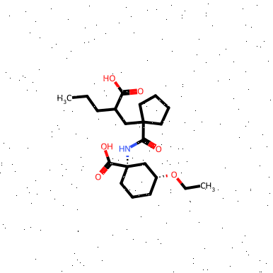 CCCC(CC1(C(=O)N[C@@]2(C(=O)O)CCC[C@@H](OCC)C2)CCCC1)C(=O)O